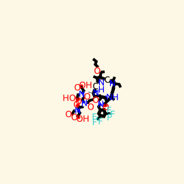 CCCCOC(C)c1c(C)c2cc3nc(c4c5[nH]c(cc6nc(cc1[nH]2)C(C)=C6CC)c(C)c5C(=O)N(Cc1cc(C(F)(F)F)cc(C(F)(F)F)c1)C4=O)[C@@H](CCC(=O)N(CC(=O)N(CC=O)CC(=O)O)CC(=O)N(CC(=O)O)CC(=O)O)[C@@H]3C